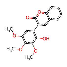 COc1cc(-c2cc3ccccc3oc2=O)c(O)c(OC)c1OC